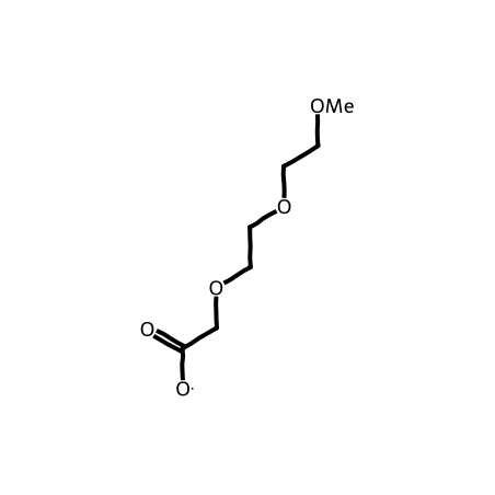 COCCOCCOCC([O])=O